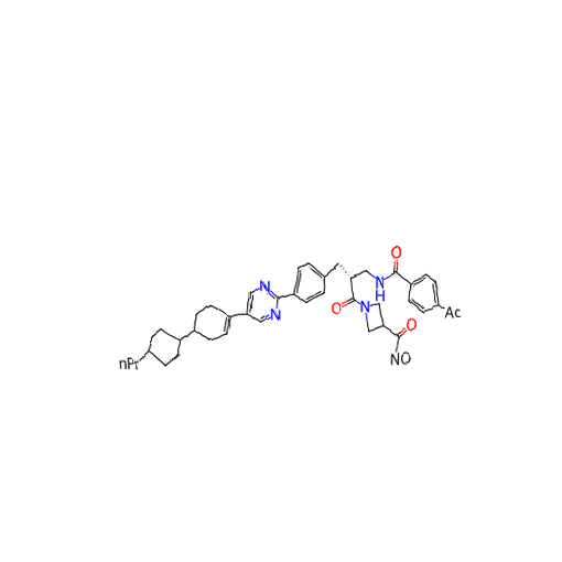 CCCC1CCC(C2CC=C(c3cnc(-c4ccc(C[C@H](CNC(=O)c5ccc(C(C)=O)cc5)C(=O)N5CC(C(=O)N=O)C5)cc4)nc3)CC2)CC1